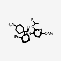 COc1ccc(NC(=O)C2(c3ccccc3C(C)C)CCC(N)CC2)c(OC(F)F)n1